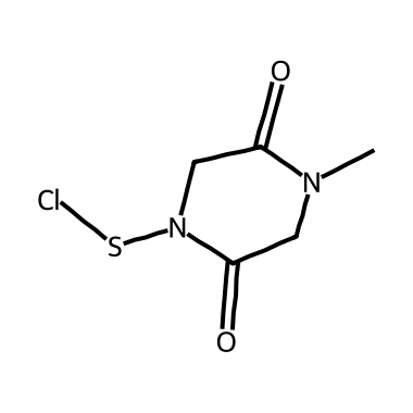 CN1CC(=O)N(SCl)CC1=O